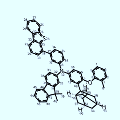 Cc1ccccc1Oc1ccc(N(c2cccc(-c3cccc4c3sc3ccccc34)c2)c2ccc3c(c2)C(C)(C)c2ccccc2-3)cc1C1[C@H]2C[C@H]3C[C@H](C[C@H]1C3)C2